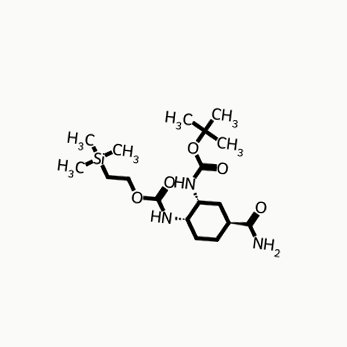 CC(C)(C)OC(=O)N[C@@H]1C[C@@H](C(N)=O)CC[C@@H]1NC(=O)OCC[Si](C)(C)C